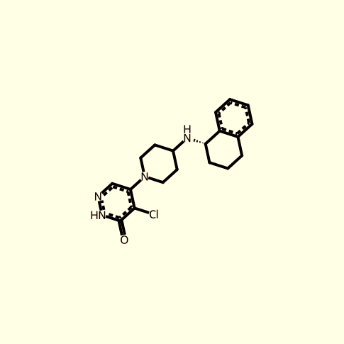 O=c1[nH]ncc(N2CCC(N[C@H]3CCCc4ccccc43)CC2)c1Cl